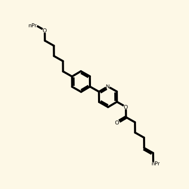 CCCC=CCCCC(=O)Oc1ccc(-c2ccc(CCCCCOCCC)cc2)nc1